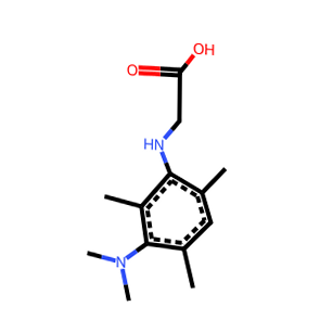 Cc1cc(C)c(N(C)C)c(C)c1NCC(=O)O